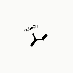 C=CC(=C)C.CCCO